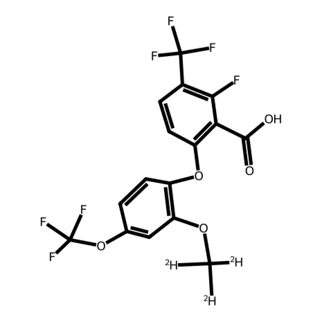 [2H]C([2H])([2H])Oc1cc(OC(F)(F)F)ccc1Oc1ccc(C(F)(F)F)c(F)c1C(=O)O